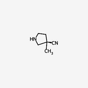 C[C@@]1(C#N)CCNC1